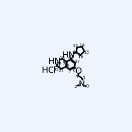 CN(C)CCOc1cc2c(c(NC3CCCC3)c1)CNCC2.Cl